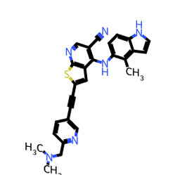 Cc1c(Nc2c(C#N)cnc3sc(C#Cc4ccc(CN(C)C)nc4)cc23)ccc2[nH]ccc12